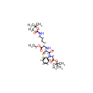 CCOC(=O)[C@H](CCCCNC(=O)OC(C)(C)C)N[C@H]1CSc2ccccc2N(CC(=O)OC(C)(C)C)C1=O